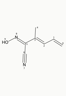 C=C/C=C(C)/C(C#N)=N/O